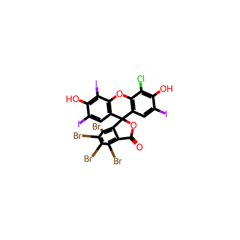 O=C1OC2(c3cc(I)c(O)c(Cl)c3Oc3c2cc(I)c(O)c3I)c2c(Br)c(Br)c(Br)c(Br)c21